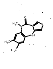 Cc1cc2c(cc1C)N(C)C(=O)c1cscc1N2